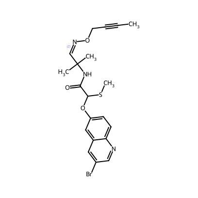 CC#CCO/N=C\C(C)(C)NC(=O)C(Oc1ccc2ncc(Br)cc2c1)SC